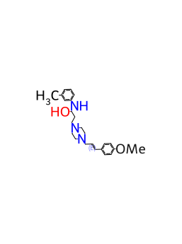 COc1ccc(/C=C/CN2CCN(CCC(O)Nc3cccc(C)c3)CC2)cc1